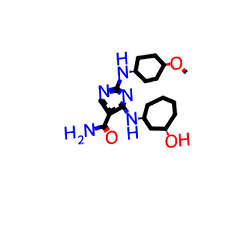 CO[C@H]1CC[C@H](Nc2ncc(C(N)=O)c(N[C@@H]3CCCC[C@H](O)C3)n2)CC1